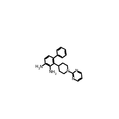 Nc1ccc(-c2ccccc2)c(C2CCN(c3ncccn3)CC2)c1N